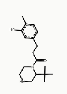 Cc1ccc(CCC(=O)N2CCNCC2C(C)(C)C)cc1O